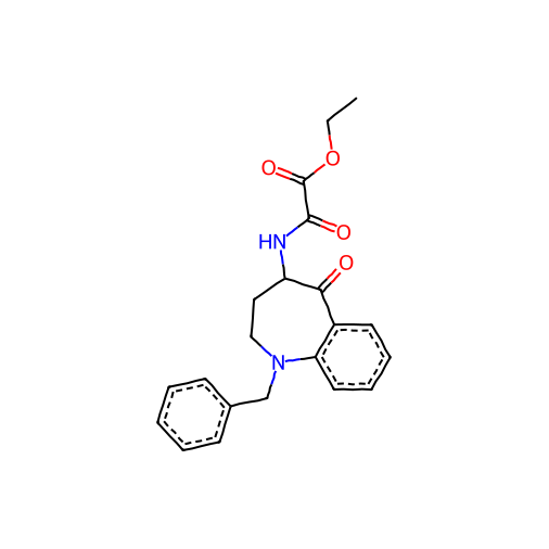 CCOC(=O)C(=O)NC1CCN(Cc2ccccc2)c2ccccc2C1=O